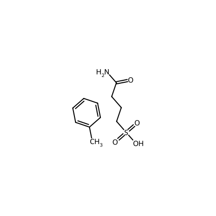 Cc1ccccc1.NC(=O)CCCS(=O)(=O)O